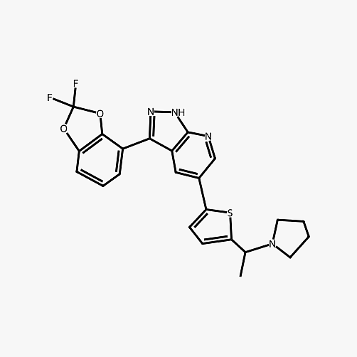 CC(c1ccc(-c2cnc3[nH]nc(-c4cccc5c4OC(F)(F)O5)c3c2)s1)N1CCCC1